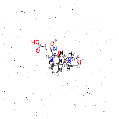 CO/N=C(\CCC(=O)O)c1nc2ccccc2n(C2C[C@H]3COC[C@@H](C2)N3C2C[C@H]3CCCC[C@@H](C2)C3)c1=O